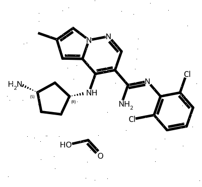 Cc1cc2c(N[C@@H]3CC[C@H](N)C3)c(C(N)=Nc3c(Cl)cccc3Cl)cnn2c1.O=CO